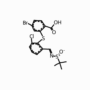 CC(C)(C)[S+]([O-])/N=C/c1cccc(Cl)c1Sc1cc(Br)ccc1C(=O)O